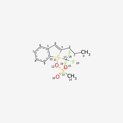 CCCC1=Cc2ccccc2S1(OS(C)(=O)=O)C(F)(F)F